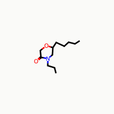 CCCCCC1CN(CCC)C(=O)CO1